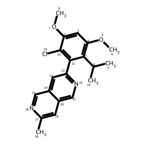 COc1cc(OC)c(C(C)C)c(-c2cc3cnc(C)cc3cn2)c1Cl